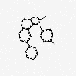 Cc1nc2cnc3ccc(-c4cc[c]cc4)cc3c2n1-c1ccc(F)cc1